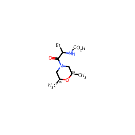 CCC(NC(=O)O)C(=O)N1C[C@@H](C)O[C@@H](C)C1